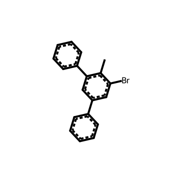 Cc1c(Br)cc(-c2ccccc2)cc1-c1ccccc1